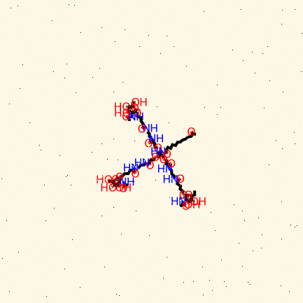 CCC1O[C@@H](OCCCCC(=O)NCCCNC(=O)CCOCC(COCCC(=O)NCCCNC(=O)CCCCO[C@@H]2OC(CO)[C@@H](O)C(O)C2NC(C)=O)(COCCC(=O)NCCCNC(=O)CCCCO[C@@H]2OC(CO)[C@H](O)C(O)C2NC(C)=O)NC(=O)CCCCCCCCCCC(C)=O)C(NC(C)=O)C(O)[C@@H]1O